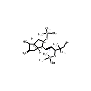 C=C1C[C@H]2[C@H](/C=C/C(O[Si](C)(C)C(C)(C)C)C(C)(C)CC(C)C)[C@H](O[Si](C)(C)C(C)(C)C)C[C@@H]2C1O